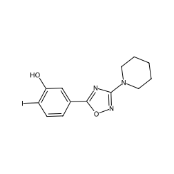 Oc1cc(-c2nc(N3CCCCC3)no2)ccc1I